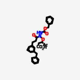 CC(=O)C(CC(=O)O)ON(NC(=O)OCc1ccccc1)C(=O)CCc1cccc(Cc2ccccc2)c1